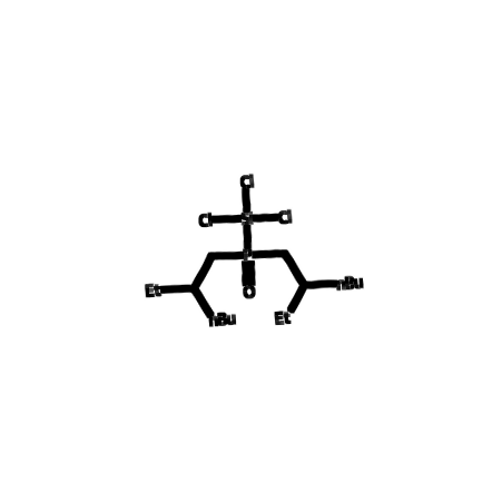 CCCCC(CC)CP(=O)(CC(CC)CCCC)[Si](Cl)(Cl)Cl